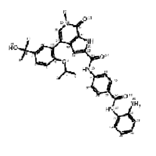 CC(C)Oc1ccc(C(C)(C)O)cc1-c1cn(C)c(=O)c2[nH]c(C(=O)Nc3ccc(C(=O)Nc4ccccc4N)cc3)cc12